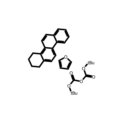 CC(C)(C)OC(=O)OC(=O)OC(C)(C)C.c1ccc2c(c1)ccc1c3c(ccc12)CCCC3.c1ccoc1